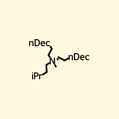 CCCCCCCCCCCC[N+](C)(CCCCCCCCCCCC)CCC(C)C